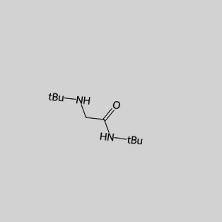 CC(C)(C)NCC(=O)NC(C)(C)C